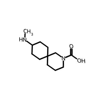 CNC1CCC2(CCCN(C(=O)O)C2)CC1